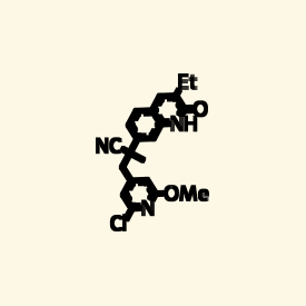 CCc1cc2ccc(C(C)(C#N)Cc3cc(Cl)nc(OC)c3)cc2[nH]c1=O